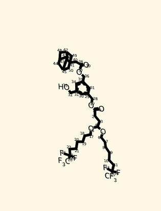 O=C(CCC(OCCCCCCC(F)(F)C(F)(F)F)OCCCCCCC(F)(F)C(F)(F)F)OCc1cc(CO)cc(COC(=O)CC23CC4CC(CC(C4)C2)C3)c1